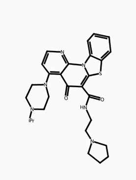 CC(C)N1CCN(c2ccnc3c2c(=O)c(C(=O)NCCN2CCCC2)c2sc4ccccc4n23)CC1